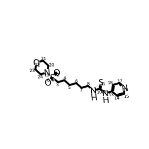 O=S(=O)(CCCCCCNC(=S)Nc1ccncc1)N1CCOCC1